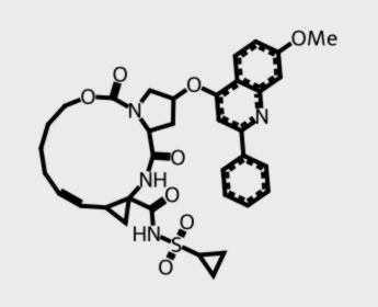 COc1ccc2c(OC3CC4C(=O)NC5(C(=O)NS(=O)(=O)C6CC6)CC5/C=C\CCCCOC(=O)N4C3)cc(-c3ccccc3)nc2c1